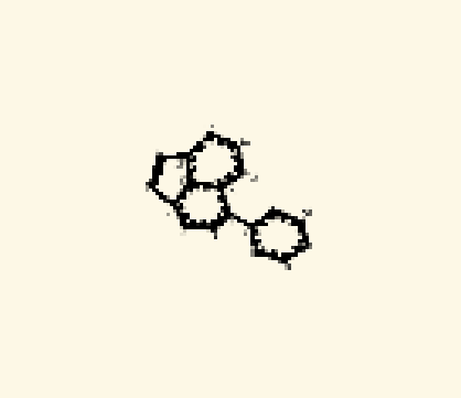 C1=Cc2ccc(-c3ccccc3)c3cccc1c23